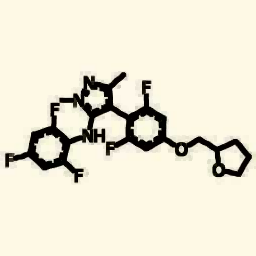 Cc1nn(C)c(Nc2c(F)cc(F)cc2F)c1-c1c(F)cc(OCC2CCCO2)cc1F